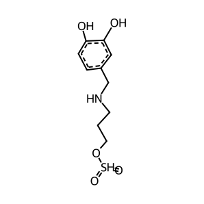 O=[SH](=O)OCCCNCc1ccc(O)c(O)c1